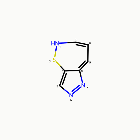 C1=CNSC2=CN=NC2=C1